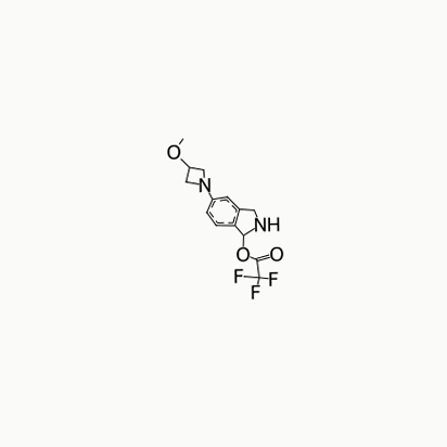 COC1CN(c2ccc3c(c2)CNC3OC(=O)C(F)(F)F)C1